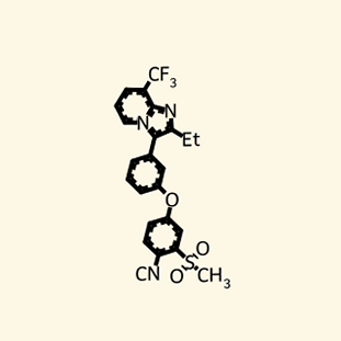 CCc1nc2c(C(F)(F)F)cccn2c1-c1cccc(Oc2ccc(C#N)c(S(C)(=O)=O)c2)c1